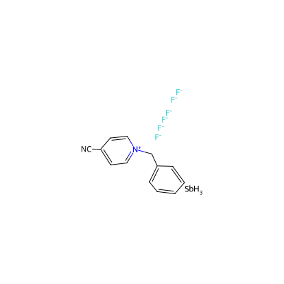 N#Cc1cc[n+](Cc2ccccc2)cc1.[F-].[F-].[F-].[F-].[F-].[F-].[SbH3]